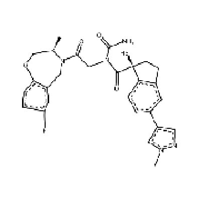 C[C@@H]1COc2ccc(F)cc2CN1C(=O)CN(C(N)=O)C(=O)[C@]1(S)CCc2cc(-c3cnn(C)c3)ccc21